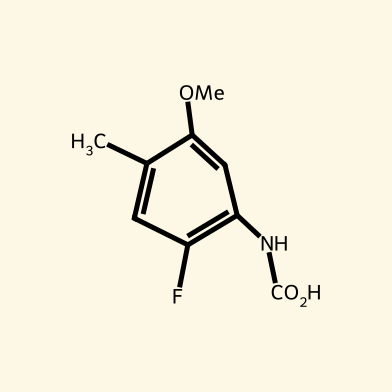 COc1cc(NC(=O)O)c(F)cc1C